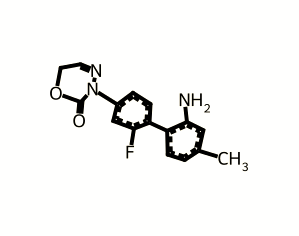 Cc1ccc(-c2ccc(N3N=CCOC3=O)cc2F)c(N)c1